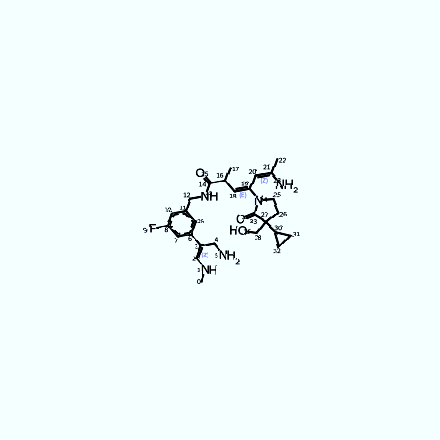 CN/C=C(\CN)c1cc(F)cc(CNC(=O)C(C)/C=C(\C=C(\C)N)N2CCC(CO)(C3CC3)C2=O)c1